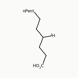 [2H]C(CCCCCCC)CCC(=O)O